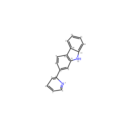 [c]1c(-c2ccccn2)ccc2c1[nH]c1ccccc12